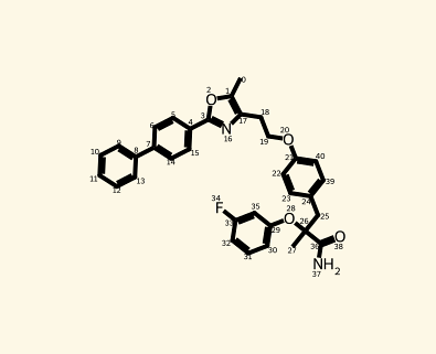 Cc1oc(-c2ccc(-c3ccccc3)cc2)nc1CCOc1ccc(CC(C)(Oc2cccc(F)c2)C(N)=O)cc1